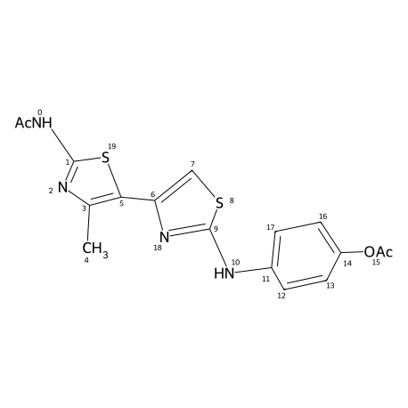 CC(=O)Nc1nc(C)c(-c2csc(Nc3ccc(OC(C)=O)cc3)n2)s1